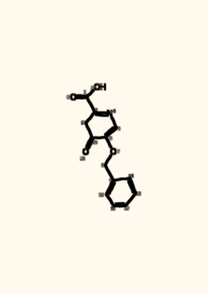 O=C(O)C1=NC=C(OCc2ccccc2)C(=O)C1